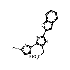 CCOC(=O)Cc1nc(-c2cc3ccccc3s2)sc1-c1ccc(Cl)s1